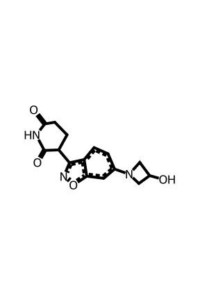 O=C1CCC(c2noc3cc(N4CC(O)C4)ccc23)C(=O)N1